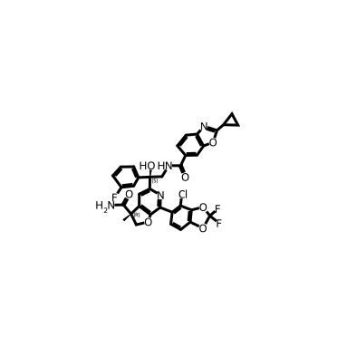 C[C@]1(C(N)=O)COc2c1cc([C@@](O)(CNC(=O)c1ccc3nc(C4CC4)oc3c1)c1cccc(F)c1)nc2-c1ccc2c(c1Cl)OC(F)(F)O2